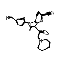 Cc1c(C(=O)CN2CCCCC2)c2nc(C#N)ccc2n1-c1ccc(C#N)cc1